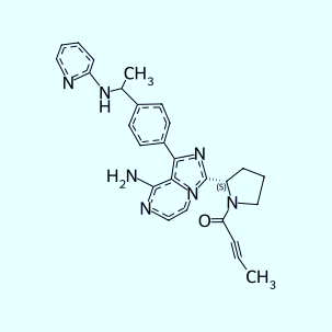 CC#CC(=O)N1CCC[C@H]1c1nc(-c2ccc(C(C)Nc3ccccn3)cc2)c2c(N)nccn12